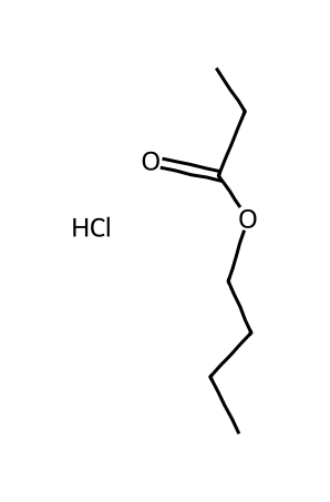 CCCCOC(=O)CC.Cl